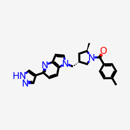 Cc1ccc(C(=O)N2C[C@H](Cn3ccc4nc(-c5cn[nH]c5)ccc43)C[C@H]2C)cc1